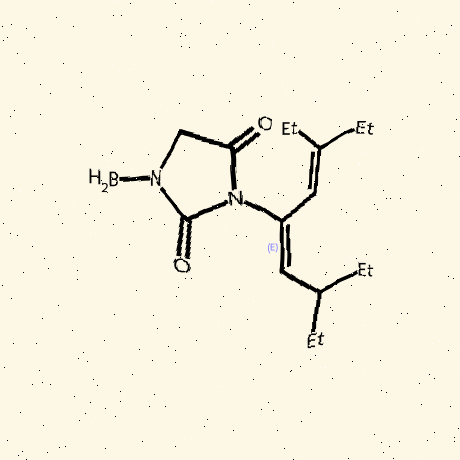 BN1CC(=O)N(/C(C=C(CC)CC)=C/C(CC)CC)C1=O